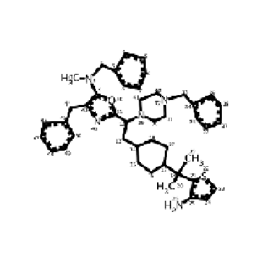 CN(Cc1ccccc1)c1oc(C(CC2CCC(C(C)(C)c3sccc3N)CC2)N2CCN(Cc3ccccc3)CC2)nc1Cc1ccccc1